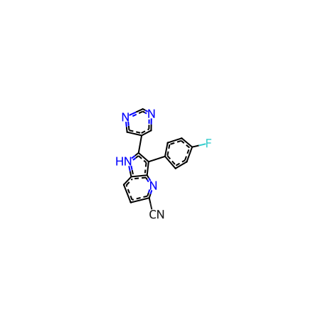 N#Cc1ccc2[nH]c(-c3cncnc3)c(-c3ccc(F)cc3)c2n1